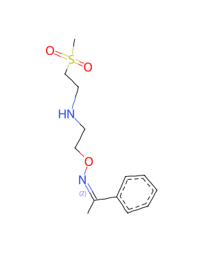 C/C(=N/OCCNCCS(C)(=O)=O)c1ccccc1